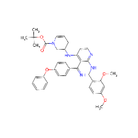 COc1ccc(CNc2nccc(NC3CC=CN(C(=O)OC(C)(C)C)C3)c2C(=N)c2ccc(Oc3ccccc3)cc2)c(OC)c1